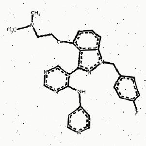 CN(C)CCOc1cccc2c1c(-c1cncnc1Nc1ccncc1)nn2Cc1ccc(F)cc1